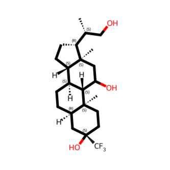 C[C@H](CO)[C@H]1CC[C@H]2[C@@H]3CC[C@@H]4C[C@](O)(C(F)(F)F)CC[C@]4(C)[C@H]3C(O)C[C@]12C